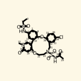 CCS(=O)(=O)Nc1ccc2c(c1)-c1cn(C)c(=O)cc1OCCN(S(=O)(=O)NC(C)=O)Cc1cc(Cl)ccc1O2